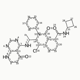 CC(Nc1ncnc2[nH]ccc(=O)c12)c1c(Cl)c2cccc(C(=O)NC3CCC3)c2c(=O)n1-c1ccccc1